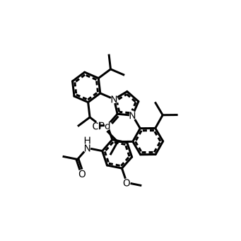 COc1cc[c]([Pd]([Cl])=[c]2n(-c3c(C(C)C)cccc3C(C)C)ccn2-c2c(C(C)C)cccc2C(C)C)c(NC(C)=O)c1